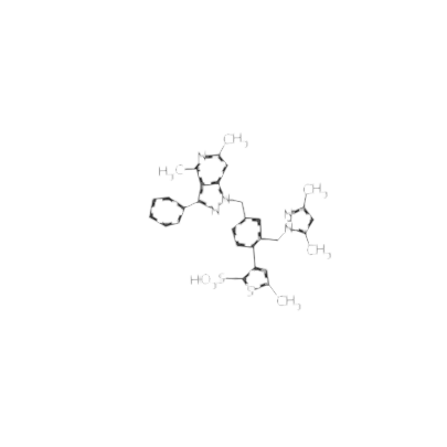 Cc1cc2c(c(C)n1)c(-c1ccccc1)nn2Cc1ccc(-c2cc(C)sc2S(=O)(=O)O)c(Cn2nc(C)cc2C)c1